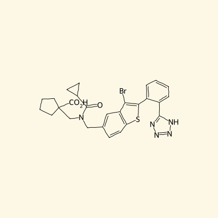 O=C(C1CC1)N(Cc1ccc2sc(-c3ccccc3-c3nnn[nH]3)c(Br)c2c1)CC1(C(=O)O)CCCC1